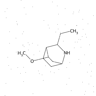 CCC1NC2CCC1C(OC)C2